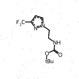 CC(C)(C)OC(=O)NCCn1ccc(C(F)(F)F)n1